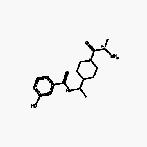 CC(NC(=O)c1ccnc(O)c1)C1CCN(C(=O)[C@H](C)N)CC1